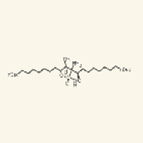 CCCCCCCCCCCCCCCCCC(=O)C(O)C(N)(C(=O)CCCCCCCCCCCCCCCCC)P(=O)(O)O